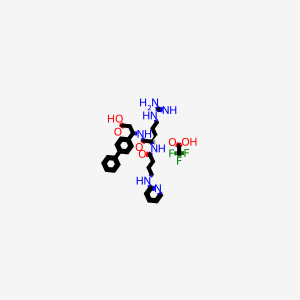 N=C(N)NCCC[C@@H](NC(=O)CCCNc1ccccn1)C(=O)NC(CC(=O)O)c1ccc(-c2ccccc2)cc1.O=C(O)C(F)(F)F